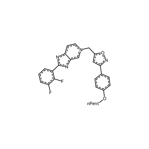 CCCCCOc1ccc(-c2cc(Cn3ccc4nc(-c5cccc(F)c5F)nc-4c3)on2)cc1